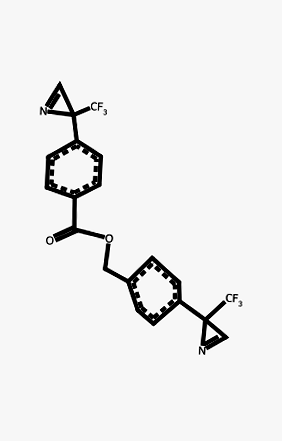 O=C(OCc1ccc(C2(C(F)(F)F)C=N2)cc1)c1ccc(C2(C(F)(F)F)C=N2)cc1